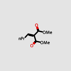 CCCC=C(C(=O)OC)C(=O)OC